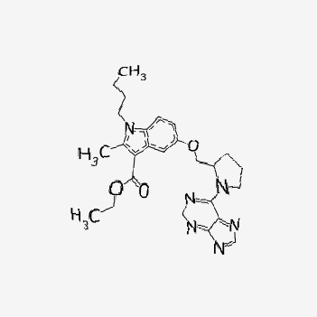 CCCCn1c(C)c(C(=O)OCC)c2cc(OCC3CCCN3C3=NCN=C4N=CN=C43)ccc21